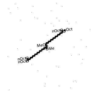 CCCCCCCCOC(CCCCCCCCCCCCC=CC(OC)OC(C=CCCCCCCCCCCCCC(OCCCCCCCC)OCCCCCCCC)OC)OCCCCCCCC